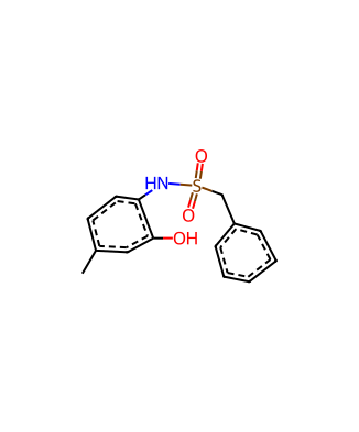 Cc1ccc(NS(=O)(=O)Cc2ccccc2)c(O)c1